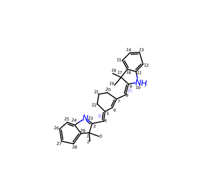 CC1(C)C(/C=C2C=C(/C=C3/Nc4ccccc4C3(C)C)CCC/2)=Nc2ccccc21